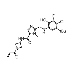 C=CC(=O)N1CC(NC(=O)c2cnc(CNc3cc(C(C)(C)C)c(Cl)c(F)c3O)n2C)C1